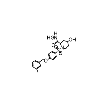 Cc1cccc(COc2ccc(S(=O)(=O)N3CCC(O)CC3C(=O)NO)cc2)c1